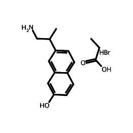 Br.CC(CN)c1ccc2ccc(O)cc2c1.CCC(=O)O